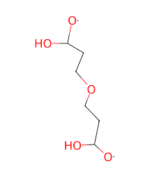 [O]C(O)CCOCCC([O])O